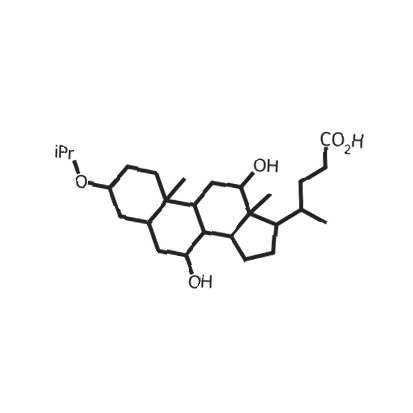 CC(C)OC1CCC2(C)C(C1)CC(O)C1C2CC(O)C2(C)C(C(C)CCC(=O)O)CCC12